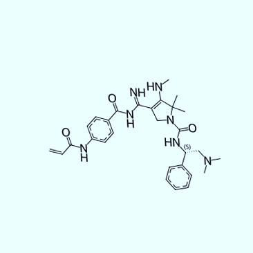 C=CC(=O)Nc1ccc(C(=O)NC(=N)C2=C(NC)C(C)(C)N(C(=O)N[C@H](CN(C)C)c3ccccc3)C2)cc1